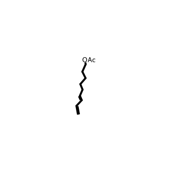 C=CC=CCCCCCOC(C)=O